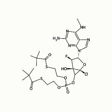 CNc1nc(N)nc2c1ncn2[C@@H]1O[C@]2(Cl)C(OP(=O)(OCCSC(=O)C(C)(C)C)OCCSC(=O)C(C)(C)C)[C@]2(O)[C@H]1F